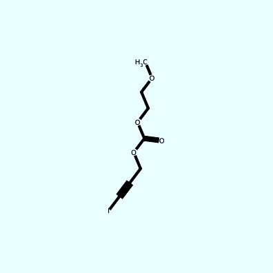 COCCOC(=O)OCC#CI